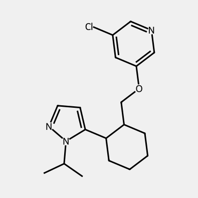 CC(C)n1nccc1C1CCCCC1COc1cncc(Cl)c1